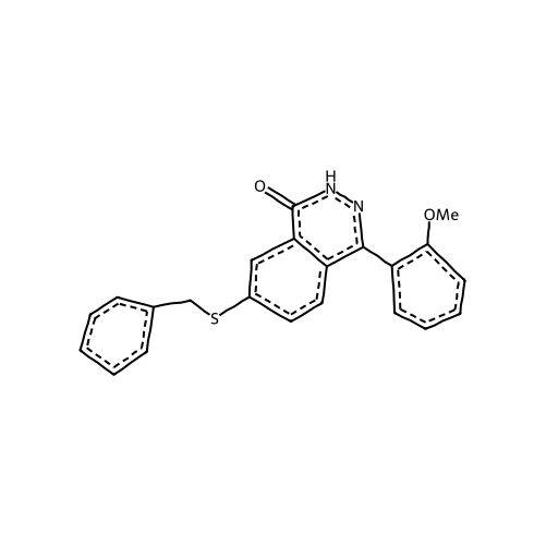 COc1ccccc1-c1n[nH]c(=O)c2cc(SCc3ccccc3)ccc12